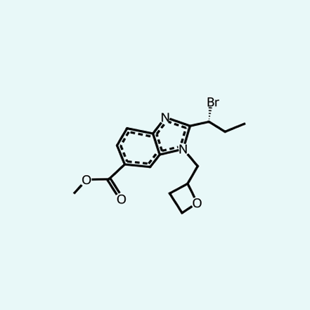 CC[C@@H](Br)c1nc2ccc(C(=O)OC)cc2n1CC1CCO1